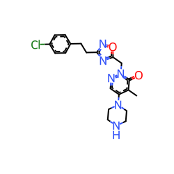 Cc1c(N2CCNCC2)cnn(Cc2nc(CCc3ccc(Cl)cc3)no2)c1=O